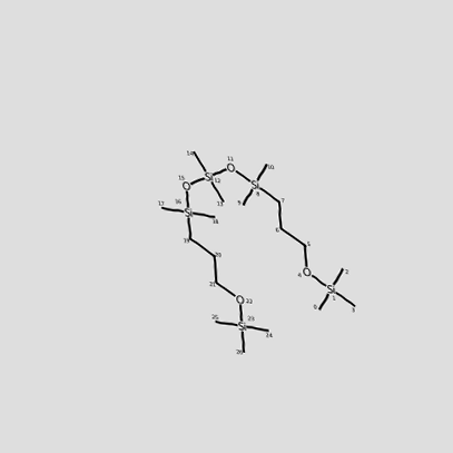 C[Si](C)(C)OCCC[Si](C)(C)O[Si](C)(C)O[Si](C)(C)CCCO[Si](C)(C)C